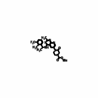 Cc1nc(NC(C)c2cccc(C(F)(F)F)c2C)c2cc(N3CCN(C(=O)OC(C)(C)C)CC3=O)cnc2n1